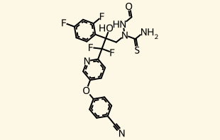 N#Cc1ccc(Oc2ccc(C(F)(F)C(O)(CN(NC=O)C(N)=S)c3ccc(F)cc3F)nc2)cc1